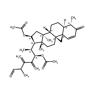 C=C(C(=C)[C@H](OC(C)=O)[C@@H](C)[C@H]1[C@@H](OC(C)=O)C[C@@]2(C)[C@@H]3CC[C@H]4[C@H](C)C(=O)C=C[C@@]45C[C@@]35CC[C@]12C)C(C)C=O